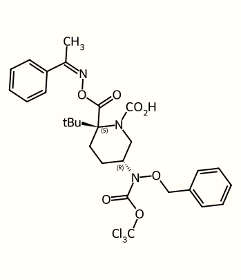 CC(=NOC(=O)[C@@]1(C(C)(C)C)CC[C@@H](N(OCc2ccccc2)C(=O)OC(Cl)(Cl)Cl)CN1C(=O)O)c1ccccc1